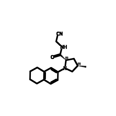 C[C@H]1C[C@@H](C(=O)NCC#N)N(c2ccc3c(c2)CCCC3)C1